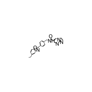 CCc1ccc2oc(-c3ccc(CNC(=O)c4cnc5nccn5c4)cc3)nc2c1